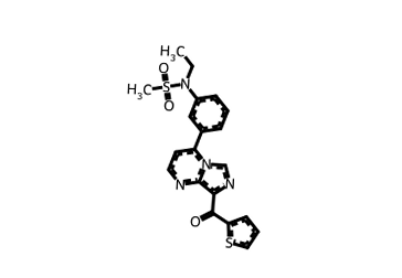 CCN(c1cccc(-c2ccnc3c(C(=O)c4cccs4)ncn23)c1)S(C)(=O)=O